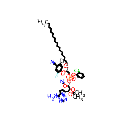 CCCCCCCCCCCCCCCCCCOC[C@H](COP(=O)(OC[C@@H](OC#N)[C@H]1OC(C)(C)O[C@H]1c1ccc2c(N)ncnn12)Oc1ccccc1Cl)Oc1cc(C)c(C#N)cc1F